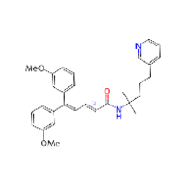 COc1cccc(C(=C/C=C/C(=O)NC(C)(C)CCCc2cccnc2)c2cccc(OC)c2)c1